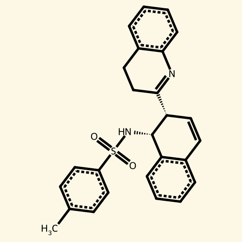 Cc1ccc(S(=O)(=O)N[C@H]2c3ccccc3C=C[C@H]2C2=Nc3ccccc3CC2)cc1